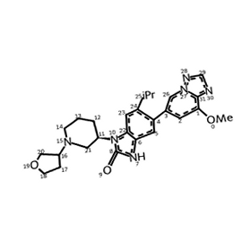 COc1cc(-c2cc3[nH]c(=O)n([C@@H]4CCCN(C5CCOC5)C4)c3cc2C(C)C)cn2ncnc12